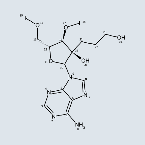 Nc1ncnc2c1ncn2C1O[C@H](COI)[C@@H](OI)[C@]1(O)CCCO